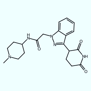 CN1CCC(NC(=O)Cn2nc(C3CCC(=O)NC3=O)c3ccccc32)CC1